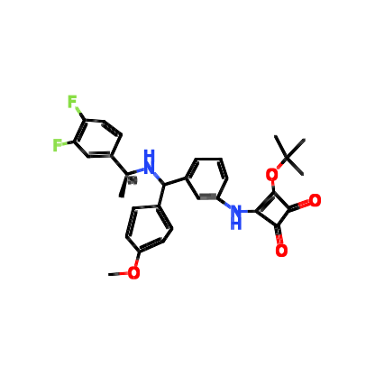 COc1ccc(C(N[C@@H](C)c2ccc(F)c(F)c2)c2cccc(Nc3c(OC(C)(C)C)c(=O)c3=O)c2)cc1